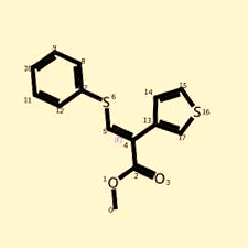 COC(=O)/C(=C/Sc1ccccc1)c1ccsc1